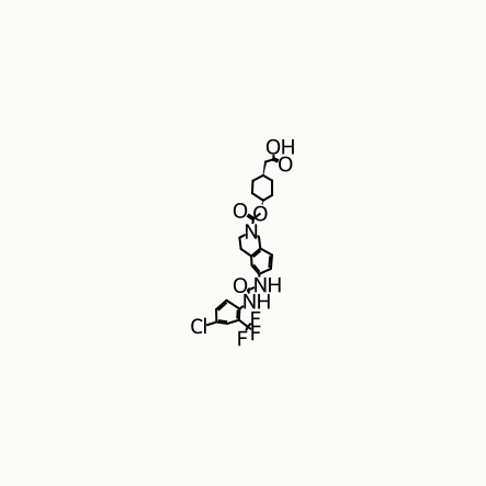 O=C(O)C[C@H]1CC[C@H](OC(=O)N2CCc3cc(NC(=O)Nc4ccc(Cl)cc4C(F)(F)F)ccc3C2)CC1